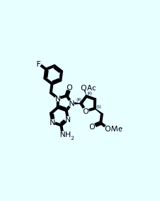 COC(=O)C[C@@H]1C[C@@H](OC(C)=O)[C@H](n2c(=O)n(Cc3cccc(F)c3)c3cnc(N)nc32)O1